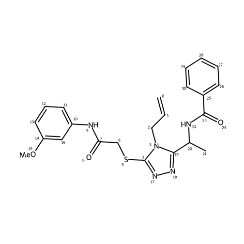 C=CCn1c(SCC(=O)Nc2cccc(OC)c2)nnc1C(C)NC(=O)c1ccccc1